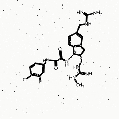 CNC(=N)NCC1Cc2cc(CNC(=N)N)ccc2[C@@H]1NC(=O)C(=O)Nc1ccc(Cl)c(F)c1